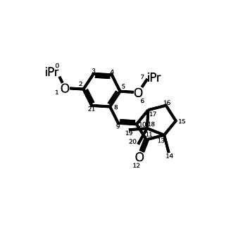 CC(C)Oc1ccc(OC(C)C)c(C=C2C(=O)C3(C)CCC2C3(C)C)c1